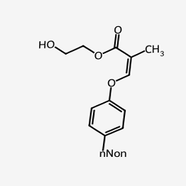 CCCCCCCCCc1ccc(OC=C(C)C(=O)OCCO)cc1